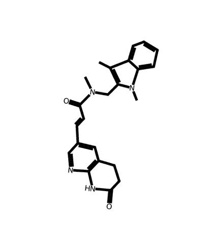 Cc1c(CN(C)C(=O)C=Cc2cnc3c(c2)CCC(=O)N3)n(C)c2ccccc12